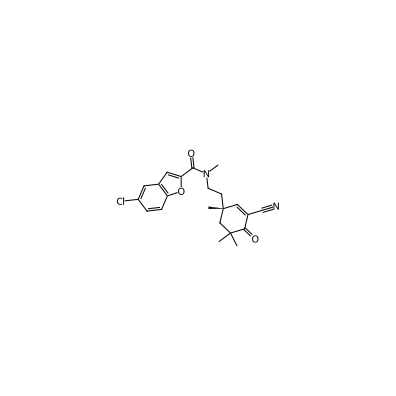 CN(CC[C@]1(C)C=C(C#N)C(=O)C(C)(C)C1)C(=O)c1cc2cc(Cl)ccc2o1